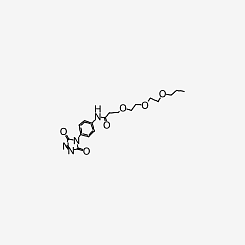 CCCOCCOCCOCCC(=O)Nc1ccc(N2C(=O)N=NC2=O)cc1